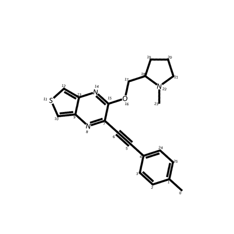 Cc1ccc(C#Cc2nc3cscc3nc2OCC2CCCN2C)cc1